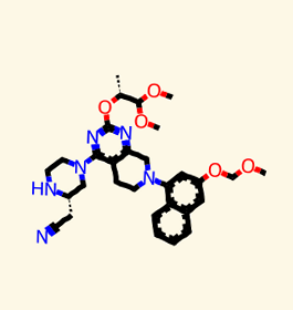 COCOc1cc(N2CCc3c(nc(O[C@H](C)C(OC)OC)nc3N3CCN[C@@H](CC#N)C3)C2)c2ccccc2c1